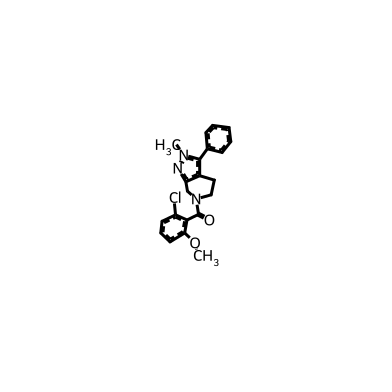 COc1cccc(Cl)c1C(=O)N1CCc2c(nn(C)c2-c2ccccc2)C1